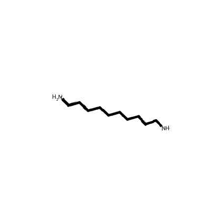 [NH]CCCCCCCCCCN